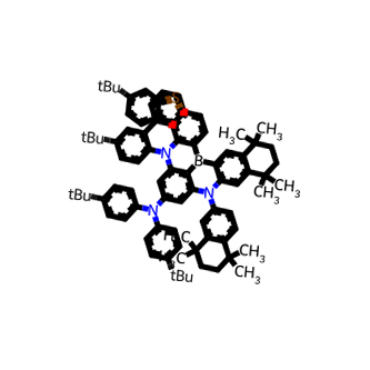 CC(C)(C)c1ccc(N(c2ccc(C(C)(C)C)cc2)c2cc3c4c(c2)N(c2ccc(C(C)(C)C)cc2-c2ccccc2)c2c(ccc5sc6cc(C(C)(C)C)ccc6c25)B4c2cc4c(cc2N3c2ccc3c(c2)C(C)(C)CCC3(C)C)C(C)(C)CCC4(C)C)cc1